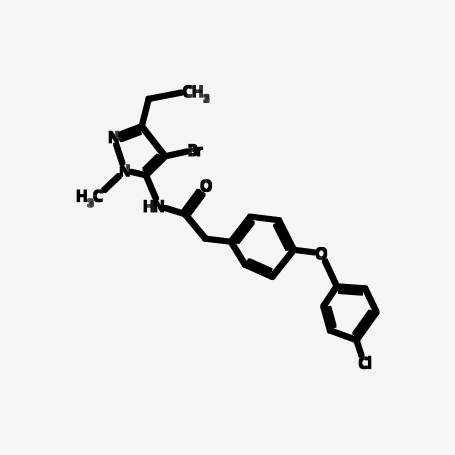 CCc1nn(C)c(NC(=O)Cc2ccc(Oc3ccc(Cl)cc3)cc2)c1Br